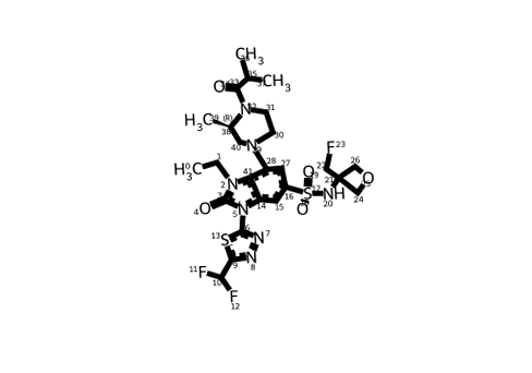 CCn1c(=O)n(-c2nnc(C(F)F)s2)c2cc(S(=O)(=O)NC3(CF)COC3)cc(N3CCN(C(=O)C(C)C)[C@H](C)C3)c21